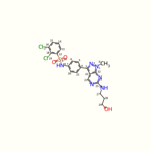 Cn1nc(-c2ccc(NS(=O)(=O)c3cccc(Cl)c3Cl)cc2)c2cnc(NCCCO)nc21